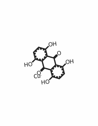 O=C1c2c(O)ccc(O)c2C(=O)c2c(O)ccc(O)c21.[Cu]